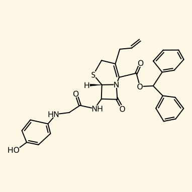 C=CCC1=C(C(=O)OC(c2ccccc2)c2ccccc2)N2C(=O)C(NC(=O)CNc3ccc(O)cc3)[C@@H]2SC1